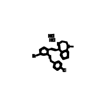 CN1CCN=C(/C=C/c2ccc(Br)cc2SCc2ccc(Cl)cc2)c2ccccc21.Cl.Cl